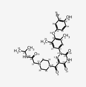 Cc1cc(-n2nc(C(=O)N3CCN(CC(=O)NC(C)C)CC3)c(=O)[nH]c2=O)cc(C)c1Oc1ccc(O)c(Br)c1